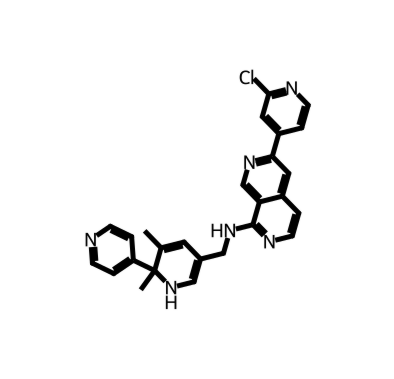 CC1=CC(CNc2nccc3cc(-c4ccnc(Cl)c4)ncc23)=CNC1(C)c1ccncc1